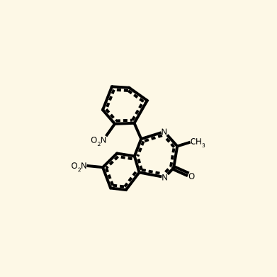 Cc1nc(-c2ccccc2[N+](=O)[O-])c2cc([N+](=O)[O-])ccc2nc1=O